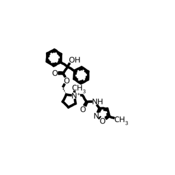 Cc1cc(NC(=O)C[N+]2(C)CCC[C@@H]2COC(=O)C(O)(c2ccccc2)c2ccccc2)no1